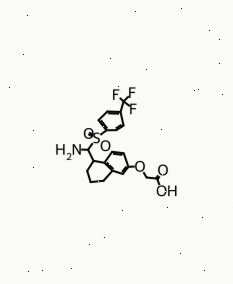 NC(C1CCCc2cc(OCC(=O)O)ccc21)S(=O)(=O)c1ccc(C(F)(F)F)cc1